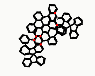 c1ccc(-c2cccc(-c3ccccc3)c2-c2c3ccc(N(c4ccccc4)c4cccc5c4-c4ccccc4C54c5ccccc5-c5ccccc54)cc3c(-c3c(-c4ccccc4)cccc3-c3ccccc3)c3ccc(N(c4ccccc4)c4cccc5c4-c4ccccc4C54c5ccccc5-c5ccccc54)cc23)cc1